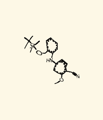 COc1cc(Nc2ccccc2O[Si](C)(C)C(C)(C)C)ccc1C#N